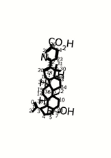 C=C(C)[C@@H]1CC[C@]2(CO)CC[C@]3(C)[C@H](CC[C@@H]4[C@@]5(C)CC=C(c6ccc(C(=O)O)cn6)C(C)(C)[C@@H]5CC[C@]43C)[C@@H]12